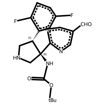 CC(C)(C)OC(=O)N[C@@]1(c2ncc(C=O)cn2)CNC[C@@H]1c1cc(F)ccc1F